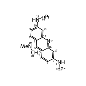 CCCNc1ccc2cc3ccc(NCCC)cc3nc2c1.CNC